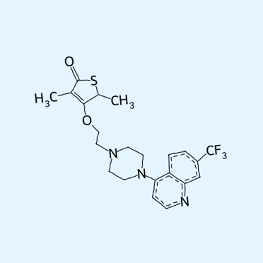 CC1=C(OCCN2CCN(c3ccnc4cc(C(F)(F)F)ccc34)CC2)C(C)SC1=O